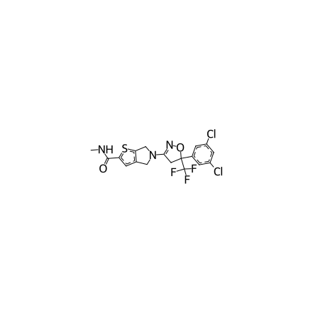 CNC(=O)c1cc2c(s1)CN(C1=NOC(c3cc(Cl)cc(Cl)c3)(C(F)(F)F)C1)C2